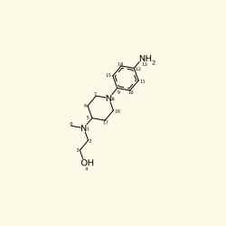 CN(CCO)C1CCN(c2ccc(N)cc2)CC1